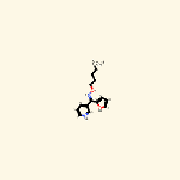 O=C(O)CCCCON=C(c1cccnc1)c1ccco1